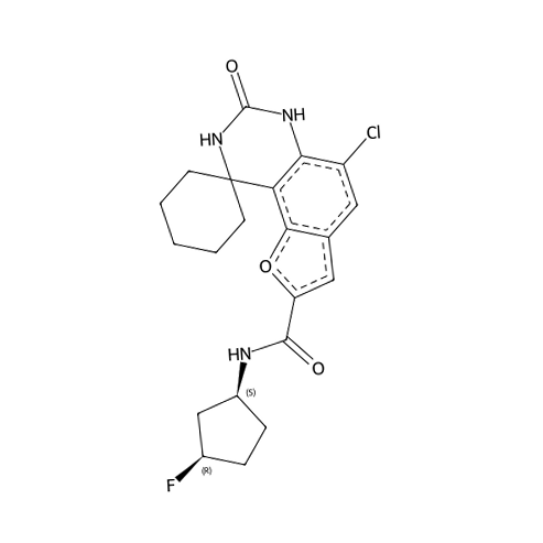 O=C1Nc2c(Cl)cc3cc(C(=O)N[C@H]4CC[C@@H](F)C4)oc3c2C2(CCCCC2)N1